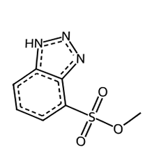 COS(=O)(=O)c1cccc2[nH]nnc12